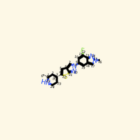 C[C@@H]1C[C@H](c2cc3cn(-c4cc(F)c5nn(C)cc5c4)nc3s2)CCN1